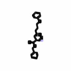 O=C(OCc1ccccc1)C(/C=N\O)CCCCCOc1ccccc1